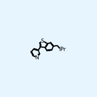 CC(C)Cc1ccc2c(-c3cccnc3)csc2c1